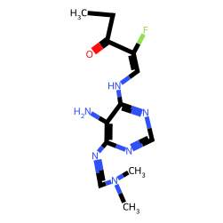 CCC(=O)/C(F)=C\Nc1ncnc(/N=C\N(C)C)c1N